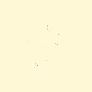 Nc1ccc(-c2ncnc3[nH]cc(C(=O)O)c23)cc1